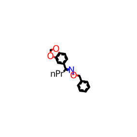 CCCC(=NOCc1ccccc1)c1ccc2c(c1)OCO2